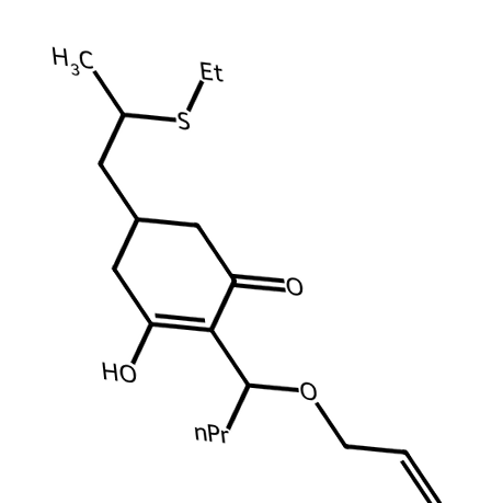 CCCC(OC/C=C/Cl)C1=C(O)CC(CC(C)SCC)CC1=O